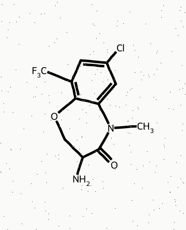 CN1C(=O)C(N)COc2c1cc(Cl)cc2C(F)(F)F